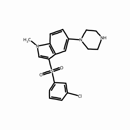 Cn1cc(S(=O)(=O)c2cccc(Cl)c2)c2cc(N3CCNCC3)ccc21